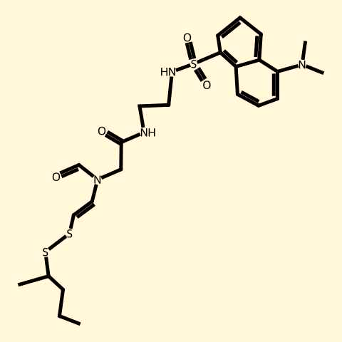 CCCC(C)SSC=CN(C=O)CC(=O)NCCNS(=O)(=O)c1cccc2c(N(C)C)cccc12